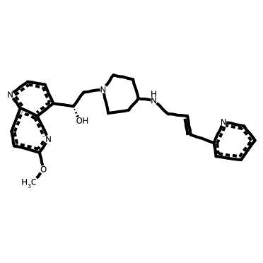 COc1ccc2nccc([C@@H](O)CN3CCC(NCC=Cc4ccccn4)CC3)c2n1